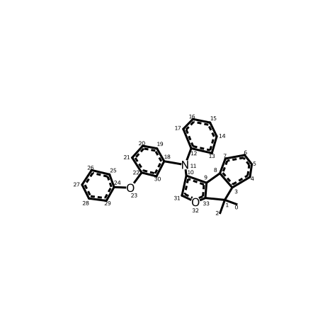 CC1(C)c2ccccc2-c2c(N(c3ccccc3)c3cccc(Oc4ccccc4)c3)coc21